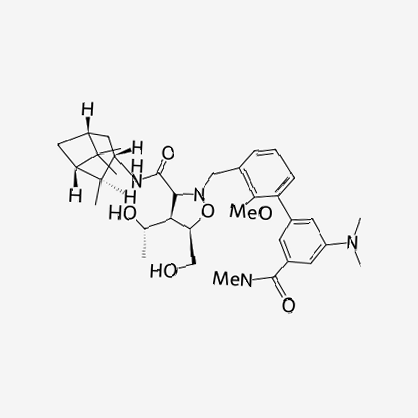 CNC(=O)c1cc(-c2cccc(CN3O[C@@H](CO)[C@@H]([C@H](C)O)C3C(=O)N[C@H]3C[C@H]4C[C@@H]([C@@H]3C)C4(C)C)c2OC)cc(N(C)C)c1